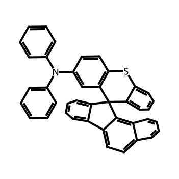 c1ccc(N(c2ccccc2)c2ccc3c(c2)C2(c4ccccc4S3)c3ccccc3-c3ccc4ccccc4c32)cc1